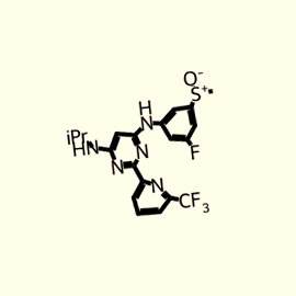 CC(C)Nc1cc(Nc2cc(F)cc([S+](C)[O-])c2)nc(-c2cccc(C(F)(F)F)n2)n1